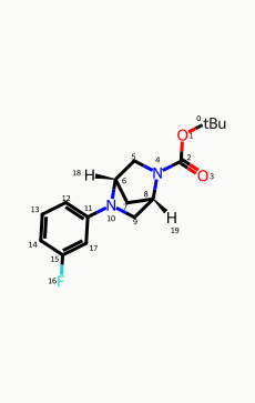 CC(C)(C)OC(=O)N1C[C@@H]2C[C@H]1CN2c1cccc(F)c1